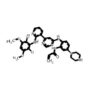 C=CC(=O)Nc1cc(N2CCNCC2)ccc1Nc1cc(-c2cccnc2Nc2c(Cl)c(OC)cc(OC)c2Cl)ncn1